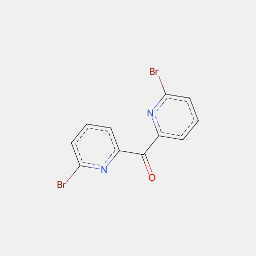 O=C(c1cccc(Br)n1)c1cccc(Br)n1